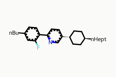 CCCCCCC[C@H]1CC[C@H](c2ccc(-c3ccc(CCCC)cc3F)nc2)CC1